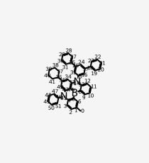 Cc1ccc2c(c1)B1c3ccccc3N(c3cc(-c4ccccc4)cc(-c4ccccc4)c3)c3cc(C4CCCCC4)cc(c31)N2c1ccccc1